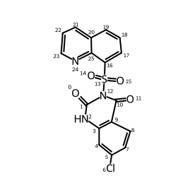 O=c1[nH]c2cc(Cl)ccc2c(=O)n1S(=O)(=O)c1cccc2cccnc12